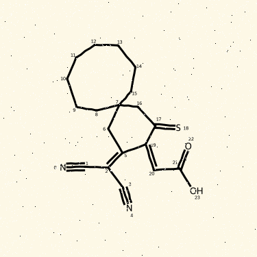 N#CC(C#N)=C1CC2(CCCCCCCC2)CC(=S)/C1=C\C(=O)O